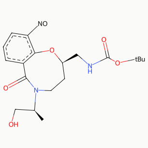 C[C@@H](CO)N1CC[C@H](CNC(=O)OC(C)(C)C)Oc2c(N=O)cccc2C1=O